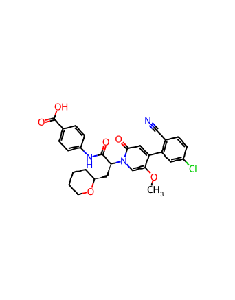 COc1cn([C@@H](C[C@@H]2CCCCO2)C(=O)Nc2ccc(C(=O)O)cc2)c(=O)cc1-c1cc(Cl)ccc1C#N